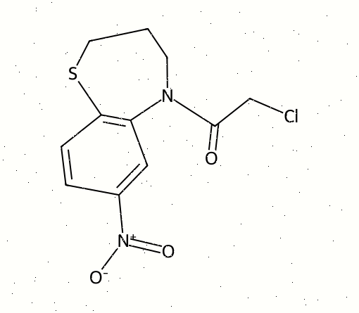 O=C(CCl)N1CCCSc2ccc([N+](=O)[O-])cc21